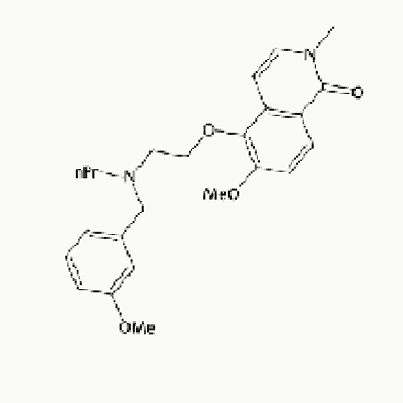 CCCN(CCOc1c(OC)ccc2c(=O)n(C)ccc12)Cc1cccc(OC)c1